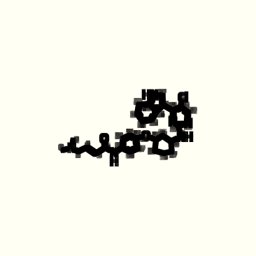 CN(C)C/C=C/C(=O)Nc1ccc(OC2CCCC(Nc3ncc(Cl)c(-c4c[nH]c5ccccc45)n3)C2)cc1